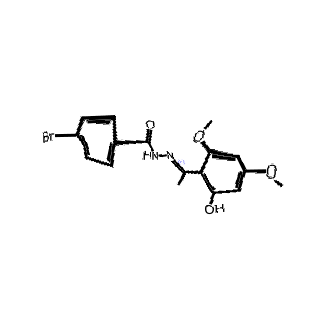 COc1cc(O)c(/C(C)=N/NC(=O)c2ccc(Br)cc2)c(OC)c1